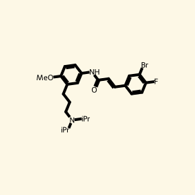 COc1ccc(NC(=O)C=Cc2ccc(F)c(Br)c2)cc1CCCN(C(C)C)C(C)C